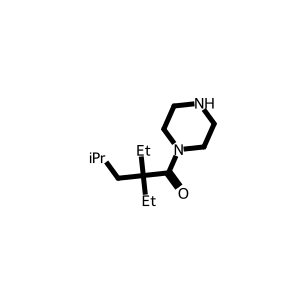 CCC(CC)(CC(C)C)C(=O)N1CCNCC1